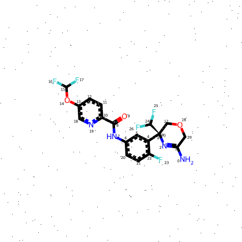 NC1=N[C@@](c2cc(NC(=O)c3ccc(OC(F)F)cn3)ccc2F)(C(F)F)COC1